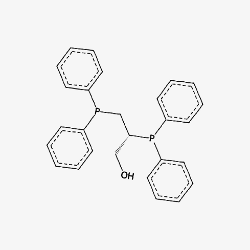 OC[C@H](CP(c1ccccc1)c1ccccc1)P(c1ccccc1)c1ccccc1